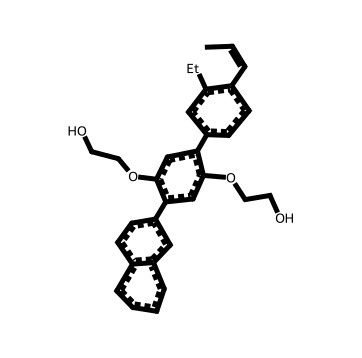 C/C=C\c1ccc(-c2cc(OCCO)c(-c3ccc4ccccc4c3)cc2OCCO)cc1CC